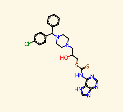 OC(CSC(=S)Nc1ncnc2nc[nH]c12)CN1CCN(C(c2ccccc2)c2ccc(Cl)cc2)CC1